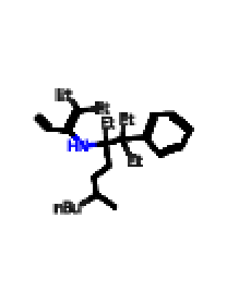 C=CC(NC(CC)(CCC(C)CCCC)C(CC)(CC)c1ccccc1)=C(CC)CC